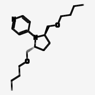 CCCCOC[C@H]1CC[C@H](COCCCC)N1c1ccncc1